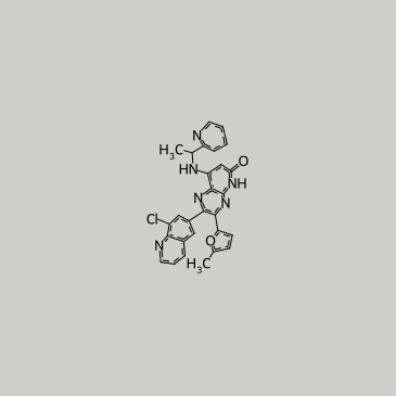 Cc1ccc(-c2nc3[nH]c(=O)cc(NC(C)c4ccccn4)c3nc2-c2cc(Cl)c3ncccc3c2)o1